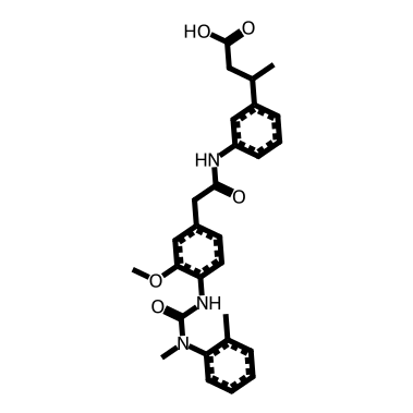 COc1cc(CC(=O)Nc2cccc(C(C)CC(=O)O)c2)ccc1NC(=O)N(C)c1ccccc1C